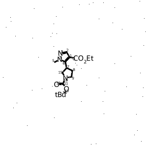 CCOC(=O)c1cnn(C)c1C1CCN(C(=O)OC(C)(C)C)C1